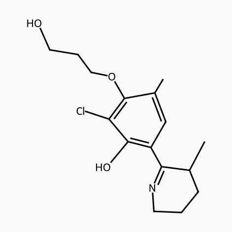 Cc1cc(C2=NCCCC2C)c(O)c(Cl)c1OCCCO